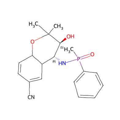 CC1(C)OC2C=CC(C#N)=CC2[C@@H](NP(C)(=O)c2ccccc2)[C@@H]1O